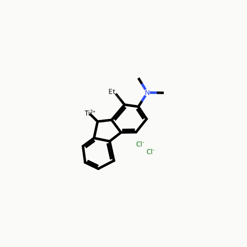 CCc1c(N(C)C)ccc2c1[CH]([Ti+2])c1ccccc1-2.[Cl-].[Cl-]